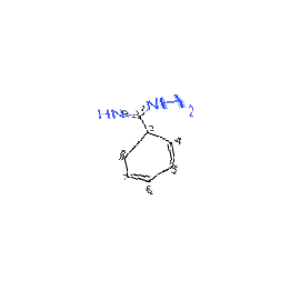 N=C(N)C1C=CC=CC1